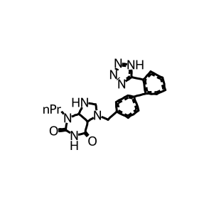 CCCN1C(=O)NC(=O)C2C1NCN2Cc1ccc(-c2ccccc2-c2nnn[nH]2)cc1